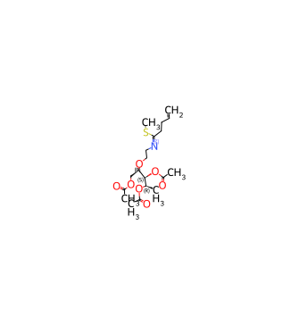 C=CCC/C(=N/CCO[C@H](COC(C)=O)[C@@H](OC(C)=O)[C@@H](C)OC(C)=O)SC